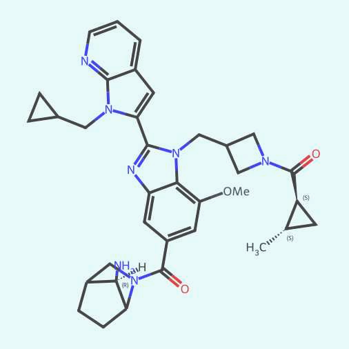 COc1cc(C(=O)N2CC3CCC2[C@@H]3N)cc2nc(-c3cc4cccnc4n3CC3CC3)n(CC3CN(C(=O)[C@H]4C[C@@H]4C)C3)c12